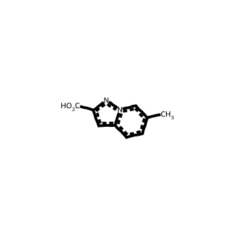 Cc1ccc2cc(C(=O)O)nn2c1